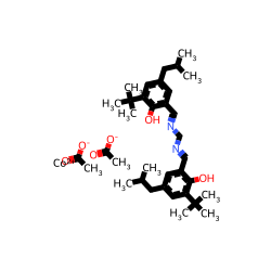 CC(=O)[O-].CC(=O)[O-].CC(C)Cc1cc(C=NCN=Cc2cc(CC(C)C)cc(C(C)(C)C)c2O)c(O)c(C(C)(C)C)c1.[Co+2]